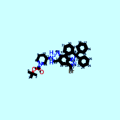 CC(C)(C)OC(=O)N1CCCC(NCc2cc3c(Br)nn(C(c4ccccc4)(c4ccccc4)c4ccccc4)c3cc2N)C1